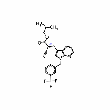 CC(C)COC(=O)/C(C#N)=C/c1cn(Cc2cccc(C(F)(F)F)c2)c2ncccc12